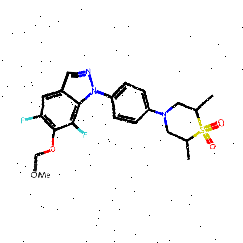 COCOc1c(F)cc2cnn(-c3ccc(N4CC(C)S(=O)(=O)C(C)C4)cc3)c2c1F